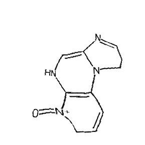 O=[N+]1CC=CC2=C1NC=C1N=CCN12